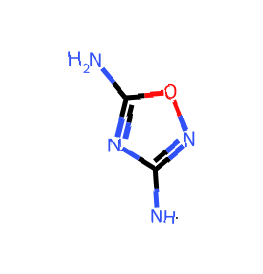 [NH]c1noc(N)n1